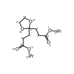 CC(C)OC(=O)CCC1(CCC(=O)OC(C)C)OCCO1